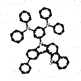 c1ccc(-c2ccc3c(c2)c2c4sc5ccccc5c4ccc2n3-c2cc(N(c3ccccc3)c3ccccc3)cc(N(c3ccccc3)c3ccccc3)c2)cc1